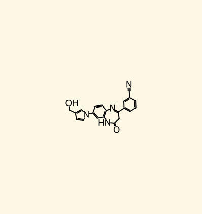 N#Cc1cccc(C2=Nc3ccc(-n4ccc(CO)c4)cc3NC(=O)C2)c1